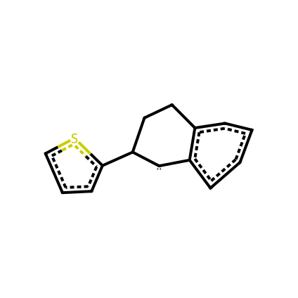 [C]1c2ccccc2CCC1c1cccs1